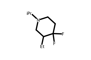 CCC1CN(C(C)C)CCC1(F)F